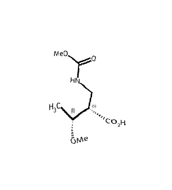 COC(=O)NC[C@H](C(=O)O)[C@@H](C)OC